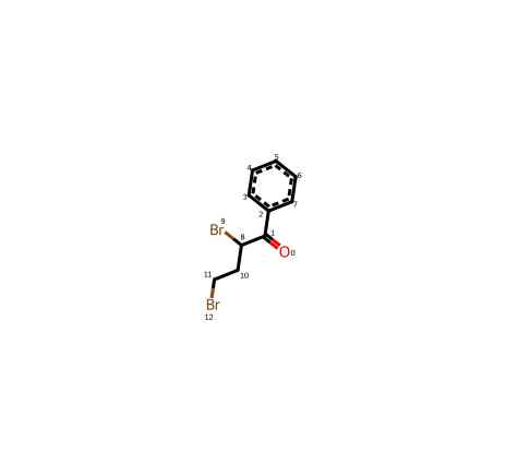 O=C(c1ccccc1)C(Br)CCBr